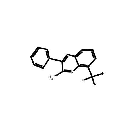 Cc1nc2c(C(F)(F)F)cccc2cc1-c1ccccc1